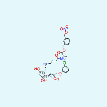 CC(NC(=O)CCC/C=C\C[C@@H]1[C@@H](/C=C/[C@@H](O)COc2cccc(Cl)c2)[C@H](O)C[C@@H]1O)C(=O)OCc1cccc(CO[N+](=O)[O-])c1